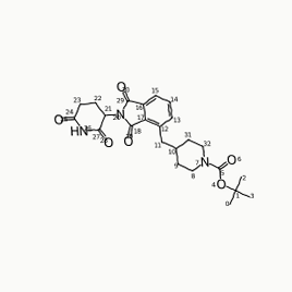 CC(C)(C)OC(=O)N1CCC(Cc2cccc3c2C(=O)N(C2CCC(=O)NC2=O)C3=O)CC1